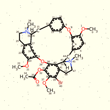 COc1ccc2cc1Oc1ccc(cc1)C[C@H]1c3cc(c(OC)cc3CCN1C)Oc1c(OC(C)=O)c(OC)c(Br)c3c1[C@H](C2)N(C)CC3